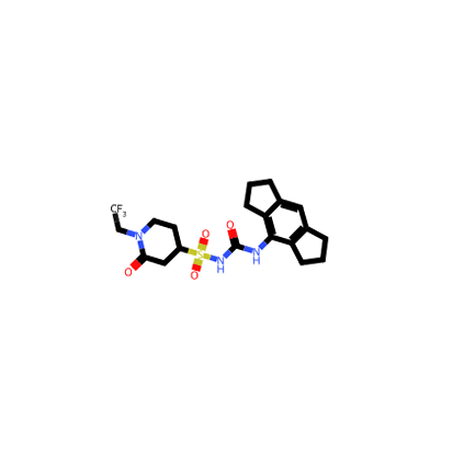 O=C(Nc1c2c(cc3c1CCC3)CCC2)NS(=O)(=O)C1CCN(CC(F)(F)F)C(=O)C1